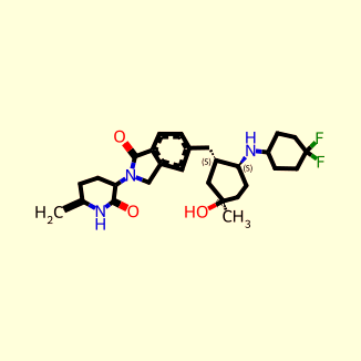 C=C1CCC(N2Cc3cc(C[C@H]4C[C@](C)(O)CC[C@@H]4NC4CCC(F)(F)CC4)ccc3C2=O)C(=O)N1